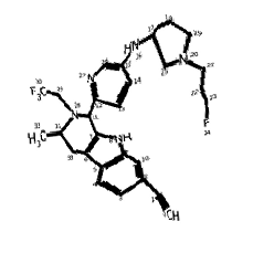 C#Cc1ccc2c3c([nH]c2c1)C(c1ccc(NC2CCN(CCCF)C2)cn1)N(CC(F)(F)F)C(C)C3